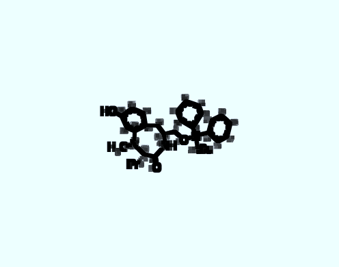 CC(C)[C@H]1C(=O)N[C@H](CO[Si](c2ccccc2)(c2ccccc2)C(C)(C)C)Cc2ccc(O)cc2N1C